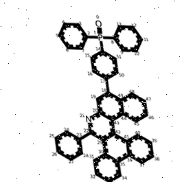 O=P(c1ccccc1)(c1ccccc1)c1ccc(-c2cc3nc(-c4ccccc4)c4c5ccccc5c5ccccc5c4c3c3ccccc23)cc1